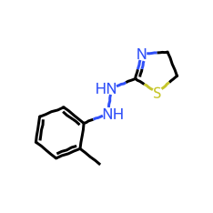 Cc1ccccc1NNC1=NCCS1